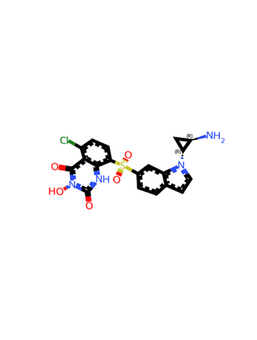 N[C@@H]1C[C@H]1n1ccc2ccc(S(=O)(=O)c3ccc(Cl)c4c(=O)n(O)c(=O)[nH]c34)cc21